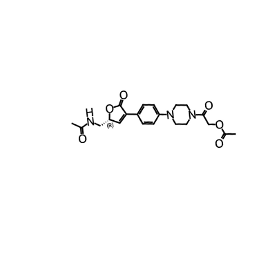 CC(=O)NC[C@H]1C=C(c2ccc(N3CCN(C(=O)COC(C)=O)CC3)cc2)C(=O)O1